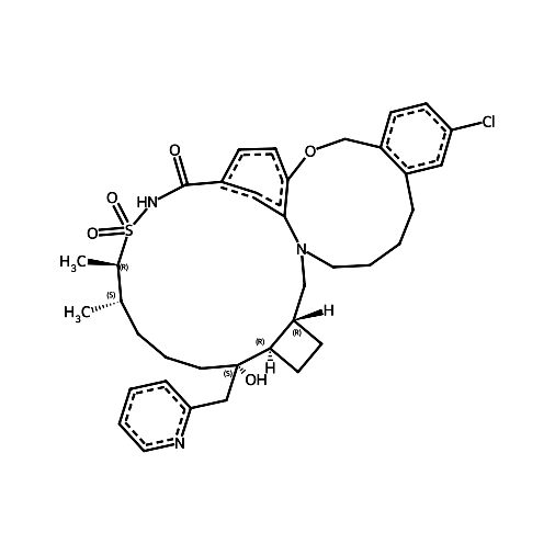 C[C@@H]1[C@@H](C)CCC[C@](O)(Cc2ccccn2)[C@@H]2CC[C@H]2CN2CCCCc3cc(Cl)ccc3COc3ccc(cc32)C(=O)NS1(=O)=O